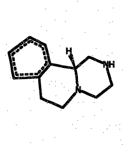 c1ccc2c(c1)CCN1CCNC[C@@H]21